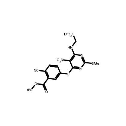 CCOC(=O)CNc1nc(SC)nc(Oc2ccc(C#N)c(C(=O)OC(C)(C)C)c2)c1[N+](=O)[O-]